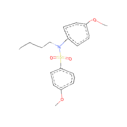 CCCCN(c1ccc(OC)cc1)S(=O)(=O)c1ccc(OC)cc1